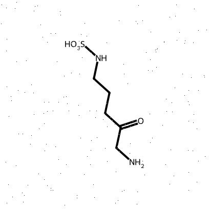 NCC(=O)CCCNS(=O)(=O)O